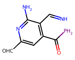 N=Cc1c(C(=O)P)cc(C=O)nc1N